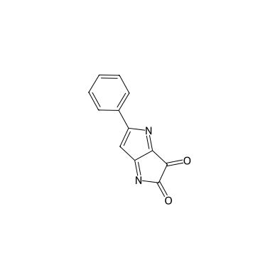 O=c1nc2cc(-c3ccccc3)nc-2c1=O